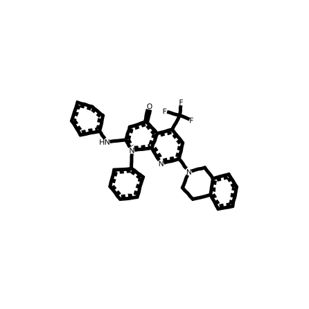 O=c1cc(Nc2ccccc2)n(-c2ccccc2)c2nc(N3CCc4ccccc4C3)cc(C(F)(F)F)c12